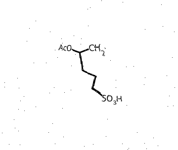 [CH2]C(CCCS(=O)(=O)O)OC(C)=O